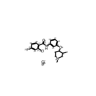 CC1CN(C)CCC1Oc1cccc(NC(=O)c2ccc(F)cc2Cl)c1.[Cl-].[H+]